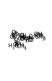 CCC(c1cccc(Oc2cccc(Oc3cccc(N4C(=O)c5ccc(Oc6ccc7c(c6)C(=O)N(C(C)(C)CC)C7=O)cc5C4=O)c3)c2)c1)C(C)(CC)N1C(=O)c2ccc(Oc3ccc4c(c3)C(=O)N(c3cc(-c5ccc(O)c(C(C)(C)C)c5)ccc3O)C4=O)cc2C1=O